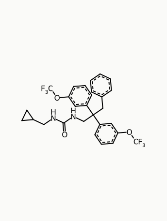 O=C(NCC1CC1)NCC(Cc1ccccc1)(c1cccc(OC(F)(F)F)c1)c1cccc(OC(F)(F)F)c1